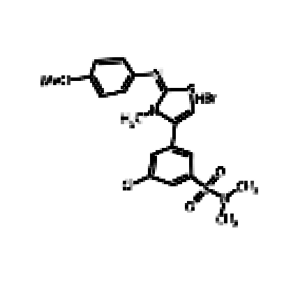 Br.COc1ccc(/N=c2/scc(-c3cc(Cl)cc(S(=O)(=O)N(C)C)c3)n2C)cc1